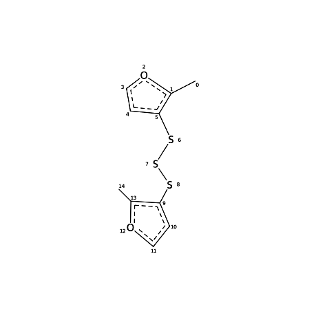 Cc1occc1SSSc1ccoc1C